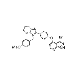 COc1ccc(Cn2c(-c3ccc(Oc4ccnc5[nH]nc(Br)c45)cc3)nc3ccccc32)cc1